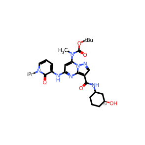 CC(C)n1cccc(Nc2cc(N(C)C(=O)OC(C)(C)C)n3ncc(C(=O)NC4CCC[C@H](O)C4)c3n2)c1=O